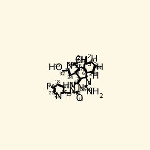 [2H]c1c([2H])c([2H])c(-c2nc(N)[n+]3c(=O)n(Cc4ccc(F)cn4)[nH]c3c2-c2cc(C)nc(CO)c2)c([2H])c1[2H]